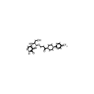 O=C(CCOC[C@H](CO)Nc1cn[nH]c(=O)c1Br)N1CCN(c2ncc(C(F)(F)F)cn2)CC1